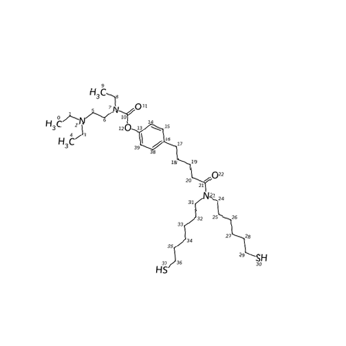 CCN(CC)CCN(CC)C(=O)Oc1ccc(CCCCC(=O)N(CCCCCCS)CCCCCCS)cc1